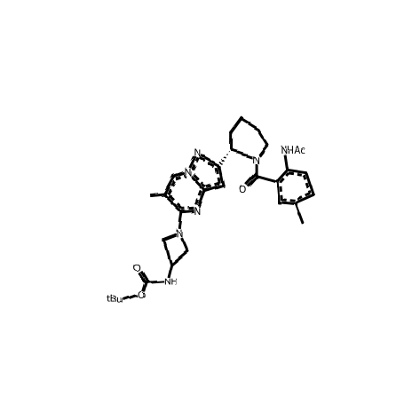 CC(=O)Nc1ccc(C)cc1C(=O)N1CCCC[C@H]1c1cc2nc(N3CC(NC(=O)OC(C)(C)C)C3)c(C)cn2n1